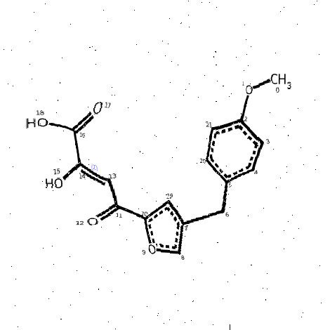 COc1ccc(Cc2coc(C(=O)/C=C(\O)C(=O)O)c2)cc1